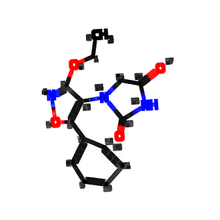 CCOc1noc(-c2ccccc2)c1N1CC(=O)NC1=O